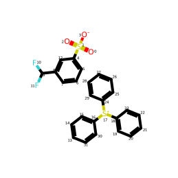 O=S(=O)([O-])c1cccc(C(F)F)c1.c1ccc([S+](c2ccccc2)c2ccccc2)cc1